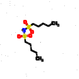 CCCCCS(=O)(=O)[N]S(=O)(=O)CCCCC